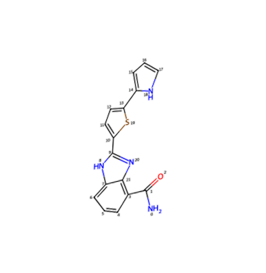 NC(=O)c1cccc2[nH]c(-c3ccc(-c4ccc[nH]4)s3)nc12